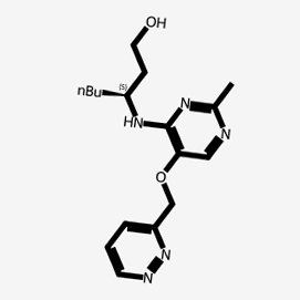 CCCC[C@@H](CCO)Nc1nc(C)ncc1OCc1cccnn1